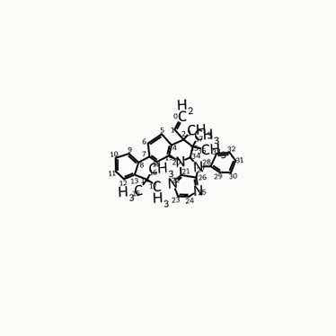 C=CC1(C)c2ccc(-c3ccccc3C(C)(C)C)cc2N2c3nccnc3N(c3ccccc3)C2C1(C)C